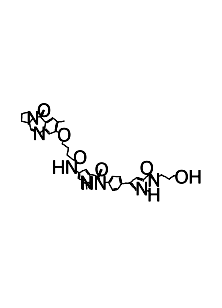 Cc1cc2c(cc1OCCCC(=O)Nc1cc(C(=O)Nc3ccc(-c4cc(C(=O)NCCCO)n(C)c4)cc3)n(C)c1)N=CC1CCCN1C2=O